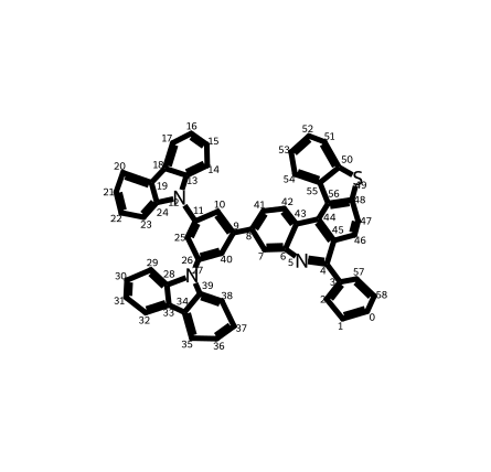 c1ccc(-c2nc3cc(-c4cc(-n5c6ccccc6c6ccccc65)cc(-n5c6ccccc6c6ccccc65)c4)ccc3c3c2ccc2sc4ccccc4c23)cc1